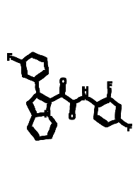 O=C(Nc1ccc(F)cc1F)C(=O)c1c(-c2cccc(F)c2)cc2ccccn12